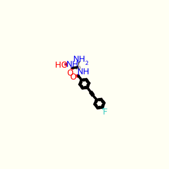 NC[C@H](NC(=O)c1ccc(C#Cc2ccc(F)cc2)cc1)C(=O)NO